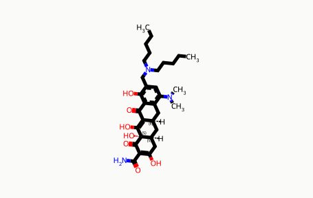 CCCCCN(CCCCC)Cc1cc(N(C)C)c2c(c1O)C(=O)C1=C(O)[C@]3(O)C(=O)C(C(N)=O)=C(O)C[C@@H]3C[C@@H]1C2